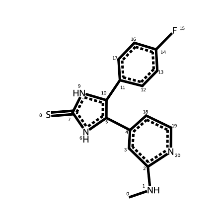 CNc1cc(-c2[nH]c(=S)[nH]c2-c2ccc(F)cc2)ccn1